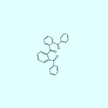 O=C(c1ccccc1)c1ccccc1C(=O)c1ccccc1C(=O)c1ccccc1